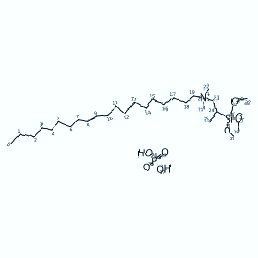 CCCCCCCCCCCCCCCCCCCC[N+](C)(C)CC(C)[Si](OC)(OC)OC.O=P([O-])(O)O